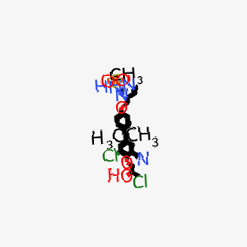 CC(C)(c1ccc(OCc2ccnc(NS(C)(=O)=O)n2)cc1)c1cc(Cl)c(OCC(O)CCl)c(C#N)c1